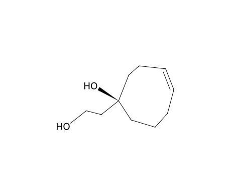 OCC[C@]1(O)CC/C=C\CCC1